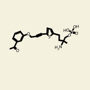 CC(=O)c1cccc(OCC#Cc2ccc(CCC(C)(N)COP(=O)(O)O)s2)c1